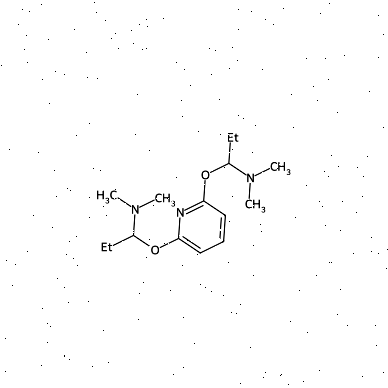 CCC(Oc1cccc(OC(CC)N(C)C)n1)N(C)C